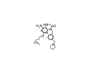 CCCCOc1nc(N)c2c(n1)N(Cc1cccc(CN3CCCC3)c1)C(=O)CN2